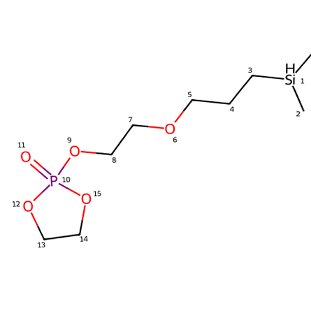 C[SiH](C)CCCOCCOP1(=O)OCCO1